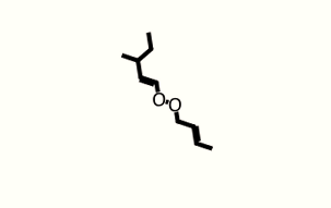 C/C=C/COOC=CC(C)CC